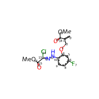 C=C(COc1cc(F)ccc1NN=C(Cl)C(=O)OC)C(=O)OC